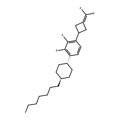 CCCCCCC[C@H]1CC[C@H](c2ccc(C3CC(=C(F)F)C3)c(F)c2F)CC1